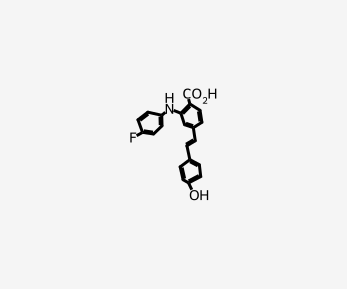 O=C(O)c1ccc(C=Cc2ccc(O)cc2)cc1Nc1ccc(F)cc1